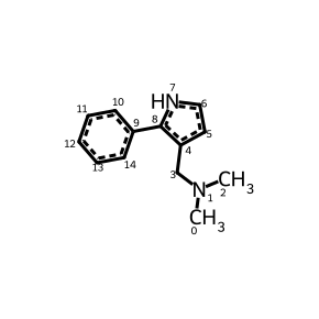 CN(C)Cc1cc[nH]c1-c1ccccc1